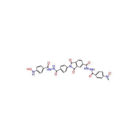 C=[N+]([O-])c1ccc(C(=O)NNC(=O)c2ccc3c(c2)C(=O)N(c2ccc(C(=O)NNC(=O)c4ccc(NO)cc4)cc2)C3=O)cc1